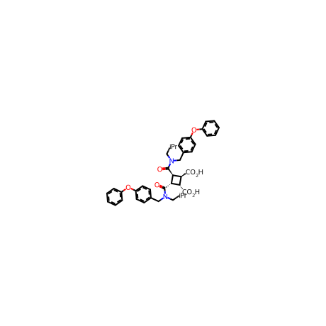 CC(C)CN(Cc1ccc(Oc2ccccc2)cc1)C(=O)[C@H]1[C@@H](C(=O)O)[C@H](C(=O)O)[C@@H]1C(=O)N(Cc1ccc(Oc2ccccc2)cc1)CC(C)C